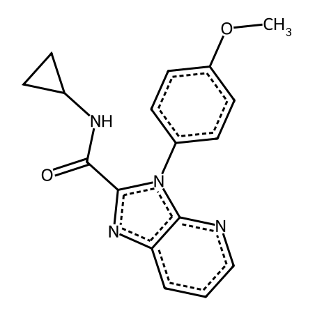 COc1ccc(-n2c(C(=O)NC3CC3)nc3cccnc32)cc1